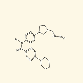 CC(C)N(C(=O)c1ccc(C2CCCCC2)cc1)c1ccc(N2CCC(CNC(=O)O)C2)nc1